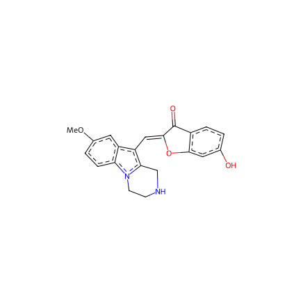 COc1ccc2c(c1)c(C=C1Oc3cc(O)ccc3C1=O)c1n2CCNC1